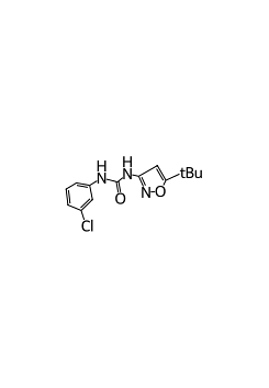 CC(C)(C)c1cc(NC(=O)Nc2cccc(Cl)c2)no1